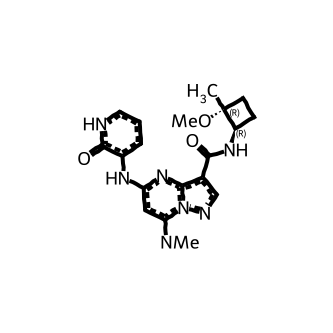 CNc1cc(Nc2ccc[nH]c2=O)nc2c(C(=O)N[C@@H]3CC[C@@]3(C)OC)cnn12